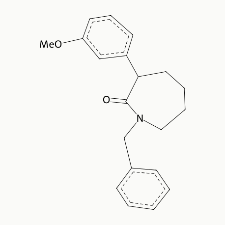 COc1cccc(C2CCCCN(Cc3ccccc3)C2=O)c1